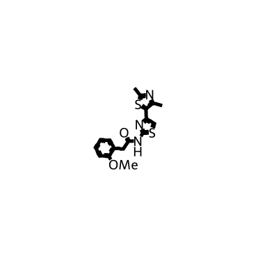 COc1ccccc1CC(=O)Nc1nc(-c2sc(C)nc2C)cs1